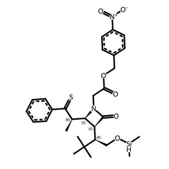 C[C@@H](C(=S)c1ccccc1)[C@@H]1[C@H]([C@@H](CO[SiH](C)C)C(C)(C)C)C(=O)N1CC(=O)OCc1ccc([N+](=O)[O-])cc1